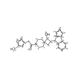 Cc1cc(CC(=O)N2CCC3(CC2)CC(C2c4ccccc4-c4cncn42)C3O)no1